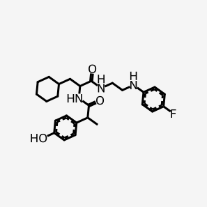 CC(C(=O)NC(CC1CCCCC1)C(=O)NCCNc1ccc(F)cc1)c1ccc(O)cc1